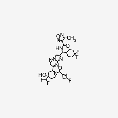 Cc1nonc1C(=O)N[C@H](c1cn2ncc([C@@H]3C[C@](O)(C(F)F)CCN3C(=O)C34CC(F)(C3)C4)nc2n1)C1CCC(F)(F)CC1